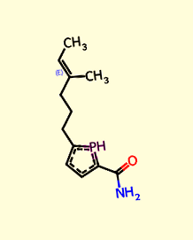 C/C=C(\C)CCCc1ccc(C(N)=O)[pH]1